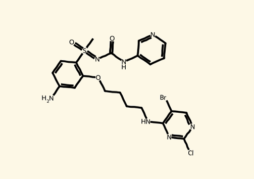 CS(=O)(=NC(=O)Nc1cccnc1)c1ccc(N)cc1OCCCCNc1nc(Cl)ncc1Br